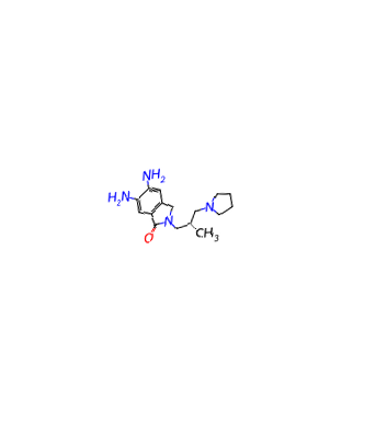 CC(CN1CCCC1)CN1Cc2cc(N)c(N)cc2C1=O